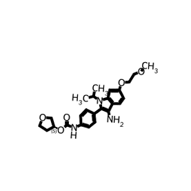 COCCOc1ccc2c(N)c(-c3ccc(NC(=O)O[C@H]4CCOC4)cc3)n(C(C)C)c2c1